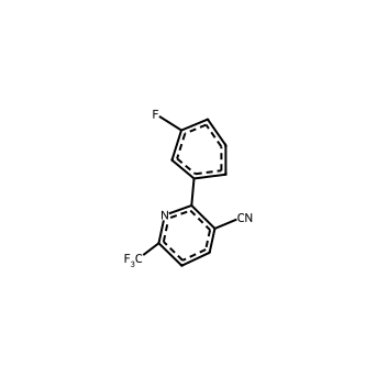 N#Cc1ccc(C(F)(F)F)nc1-c1cccc(F)c1